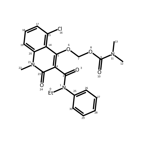 CCN(C(=O)c1c(OCOC(=O)N(C)C)c2c(Cl)cccc2n(C)c1=O)c1ccccc1